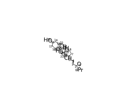 CC(C)C(=O)CCC[C@H]1CC[C@H]2[C@@H]3CC=C4C[C@@H](O)CC[C@]4(C)[C@H]3CC[C@]12C